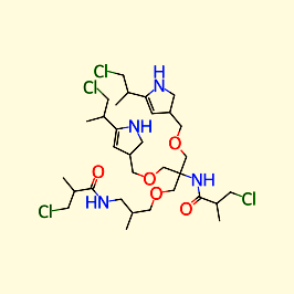 CC(CNC(=O)C(C)CCl)COCC(COCC1C=C(C(C)CCl)NC1)(COCC1C=C(C(C)CCl)NC1)NC(=O)C(C)CCl